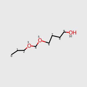 CCCOCOCCCCO